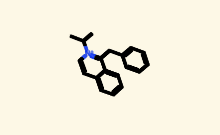 CC(C)[n+]1ccc2ccccc2c1Cc1ccccc1